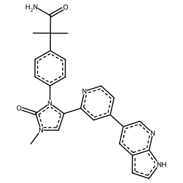 Cn1cc(-c2cc(-c3cnc4[nH]ccc4c3)ccn2)n(-c2ccc(C(C)(C)C(N)=O)cc2)c1=O